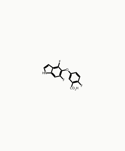 O=C(O)c1cc(Oc2c(F)cc3[nH]ccc3c2F)ccc1F